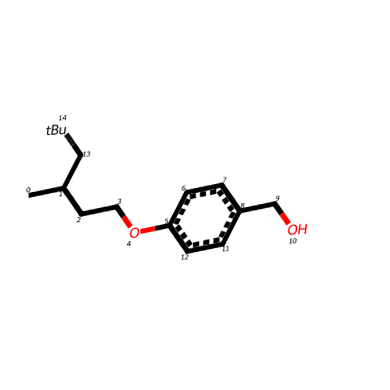 CC(CCOc1ccc(CO)cc1)CC(C)(C)C